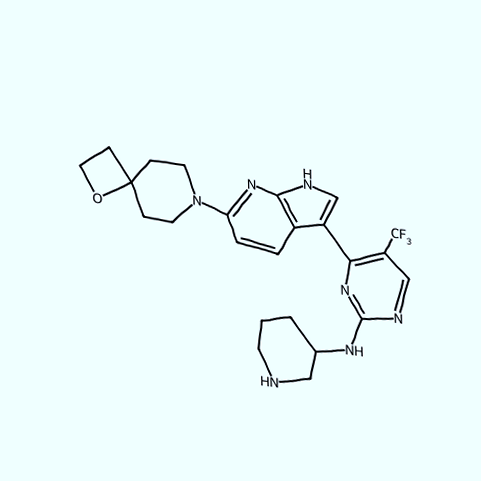 FC(F)(F)c1cnc(NC2CCCNC2)nc1-c1c[nH]c2nc(N3CCC4(CCO4)CC3)ccc12